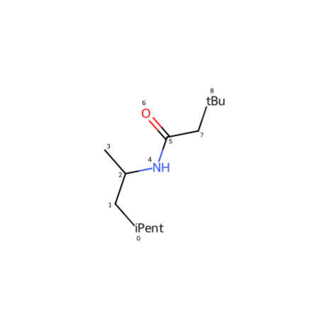 CCCC(C)CC(C)NC(=O)CC(C)(C)C